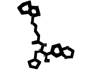 O=C(CCCOn1nnc2ccccc21)N[C@H](CN1CCCC1)[C@H](O)c1ccc2c(c1)OCCO2